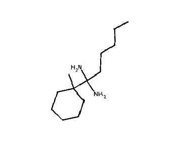 CCCCCC(N)(N)C1(C)CCCCC1